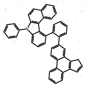 C1=Cc2c(c3cc(-c4ccccc4-c4cccc5c4c4c6ccccc6ccc4n5-c4ccccc4)ccc3c3ccccc23)C1